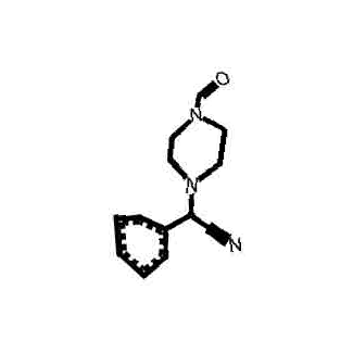 N#CC(c1ccccc1)N1CCN(C=O)CC1